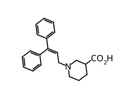 O=C(O)C1CCCN(CC=C(c2ccccc2)c2ccccc2)C1